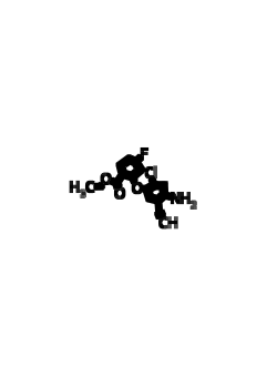 C#Cc1cc(Oc2cc(F)ccc2C(=O)OCC)c(Cl)cc1N